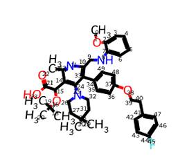 COc1ccccc1NCc1nc(C)c(C(OC(C)(C)C)C(=O)O)c(N2CCC(C)(C)CC2)c1-c1ccc(OCCc2ccc(F)cc2)cc1